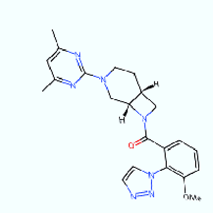 COc1cccc(C(=O)N2C[C@H]3CCN(c4nc(C)cc(C)n4)C[C@H]32)c1-n1ccnn1